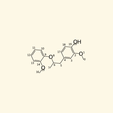 COc1cc(CC(C)Oc2ccccc2OC)ccc1O